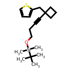 CC(C)(C)[Si](C)(C)OCCC#CC1(Cc2cccs2)CCC1